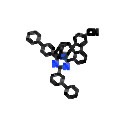 N#Cc1ccc2c(c1)-c1cccc(-c3nc(-c4ccc(-c5ccccc5)cc4)nc(-c4cccc(-c5ccccc5)c4)n3)c1C21C2CC3CC(C2)CC1C3